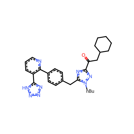 CCCCn1nc(C(=O)CC2CCCCC2)nc1Cc1ccc(-c2ncccc2-c2nnn[nH]2)cc1